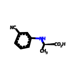 C[C@@H](Nc1cccc(C#N)c1)C(=O)O